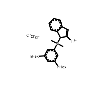 CCCCCCc1cc(CCCCCC)cc([Si](C)(C)C2[C]([Ti+3])=Cc3ccccc32)c1.[Cl-].[Cl-].[Cl-]